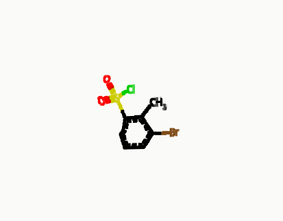 Cc1c(Br)cccc1S(=O)(=O)Cl